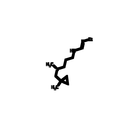 CCN=CNCCCN(C)CC1(C)CC1